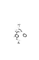 Cc1cc(-c2cnn3c(NCC(C)(C)O)cc(Oc4ccccc4)nc23)ccc1C(=O)NC1CC1